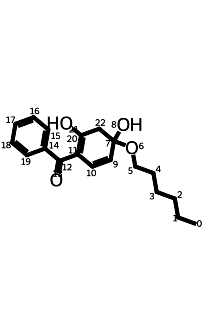 CCCCCCOC1(O)C=CC(C(=O)c2ccccc2)=C(O)C1